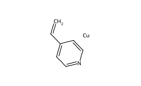 C=Cc1ccncc1.[Cu]